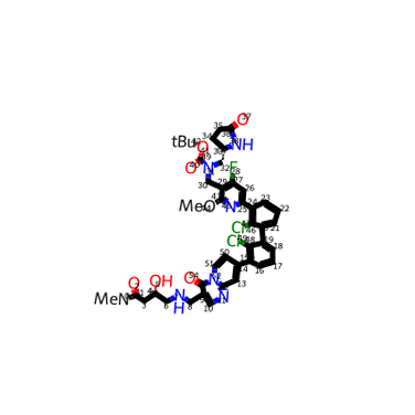 CNC(=O)C[C@H](O)CNCc1cnc2cc(-c3cccc(-c4cccc(-c5cc(F)c(CN(C[C@@H]6CCC(=O)N6)C(=O)OC(C)(C)C)c(OC)n5)c4Cl)c3Cl)ccn2c1=O